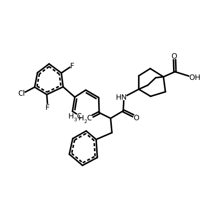 C=C(/C=C\C(=C/C)c1c(F)ccc(Cl)c1F)C(Cc1ccccc1)C(=O)NC12CCC(C(=O)O)(CC1)CC2